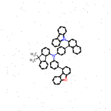 CC1(C)c2ccccc2-c2c(N(c3ccc(-c4c(-n5c6ccccc6c6ccccc65)ccc5ccccc45)cc3)c3cccc(-c4cccc5oc6ccccc6c45)c3)cccc21